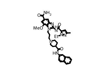 CCn1nc(C)cc1C(=O)Nc1nc2cc(C(N)=O)cc(OC)c2n1CCCN1CCC(C(=O)Nc2ccc3ccccc3c2)CC1